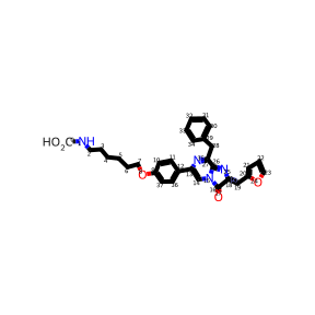 O=C(O)NCCCCCCOc1ccc(C2=CN3C(=O)/C(=C/c4ccco4)N=C3C(Cc3ccccc3)=N2)cc1